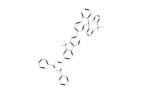 CC1(C)c2cc(-c3ccc4c(c3)C3(c5ccccc5-4)c4ccccc4C(C)(C)c4ccccc43)ccc2-c2ccc(-c3nc(-c4ccccc4)nc(-c4ccccc4)n3)cc21